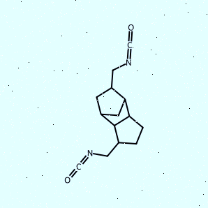 O=C=NCC1CC2CC1C1CCC(CN=C=O)C21